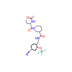 CCC(NC(C)=O)C(=O)N1CCCC(C(=O)NCc2ccc(C#N)cc2OC(F)(F)F)C1